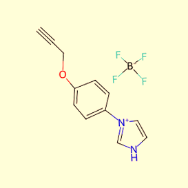 C#CCOc1ccc(-[n+]2cc[nH]c2)cc1.F[B-](F)(F)F